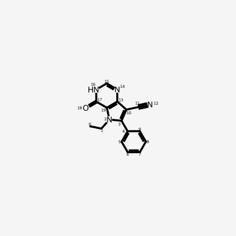 CCn1c(-c2ccccc2)c(C#N)c2nc[nH]c(=O)c21